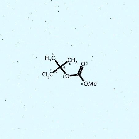 COC(=O)OC(C)(C)C(Cl)(Cl)Cl